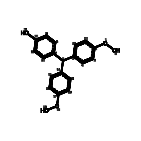 OOc1ccc(C(c2ccc(O)cc2)c2ccc(OO)cc2)cc1